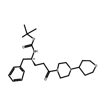 CC(C)(C)OC(=O)N[C@@H](CCC(=O)N1CCN(C2CCOCC2)CC1)Cc1ccccc1